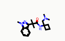 CN(C)CC1(NC(=O)C(C)(C)c2nn(C)c3ccccc23)CCC1